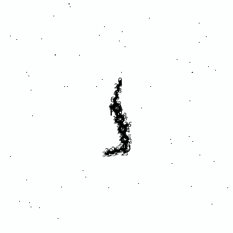 CCCCCCCc1ccc(-c2ccc(-c3ccc(-c4ccc(OC(C)CCCCCC)cc4)cc3C)cc2)nc1